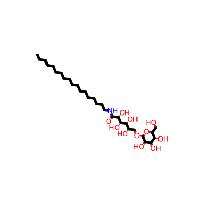 CCCCCCCCCCCCCCCCCCNC(=O)[C@H](O)[C@@H](O)[C@H](O)[C@H](O)CO[C@H]1OC(CO)[C@H](O)C(O)C1O